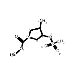 CC1CN(C(=O)OC(C)(C)C)CC1OS(C)(=O)=O